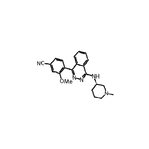 COc1cc(C#N)ccc1-c1nnc(N[C@@H]2CCCN(C)C2)c2ccccc12